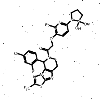 CCc1nc(N2CCCS2(O)O)ccc1OCC(=O)N1CCc2nc3sc(C(F)(F)F)nn3c2C1c1ccc(Cl)cc1F